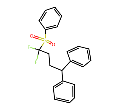 O=S(=O)(c1ccccc1)C(F)(F)CCC(c1ccccc1)c1ccccc1